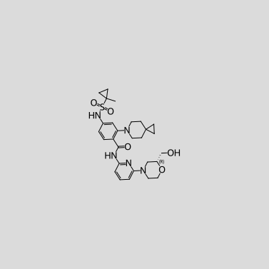 CC1(S(=O)(=O)Nc2ccc(C(=O)Nc3cccc(N4CCO[C@@H](CO)C4)n3)c(N3CCC4(CC3)CC4)c2)CC1